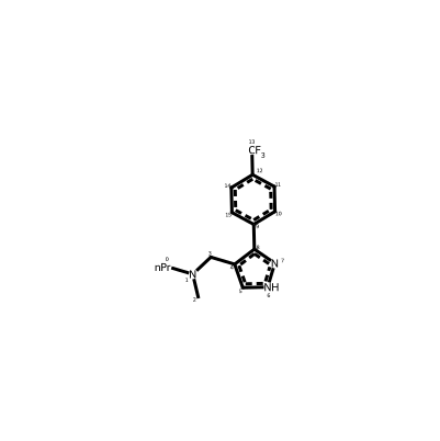 CCCN(C)Cc1c[nH]nc1-c1ccc(C(F)(F)F)cc1